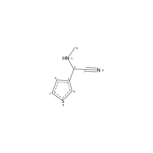 CNC(C#N)c1ccsc1